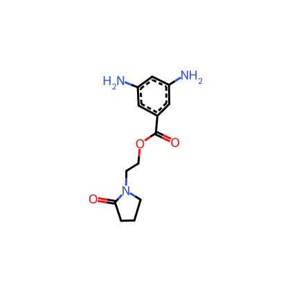 Nc1cc(N)cc(C(=O)OCCN2CCCC2=O)c1